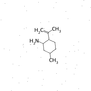 C=C(C)C1CCC(C)CC1N